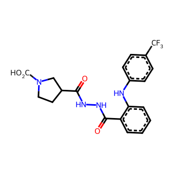 O=C(NNC(=O)C1CCN(C(=O)O)C1)c1ccccc1Nc1ccc(C(F)(F)F)cc1